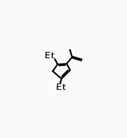 C=C(C)C1=C(CC)CC(CC)=C1